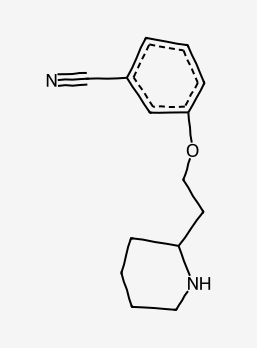 N#Cc1cccc(OCCC2CCCCN2)c1